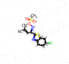 CS(=O)(=O)O/N=C(\C=C(C#N)C#N)c1nc2ccc(Cl)cc2s1